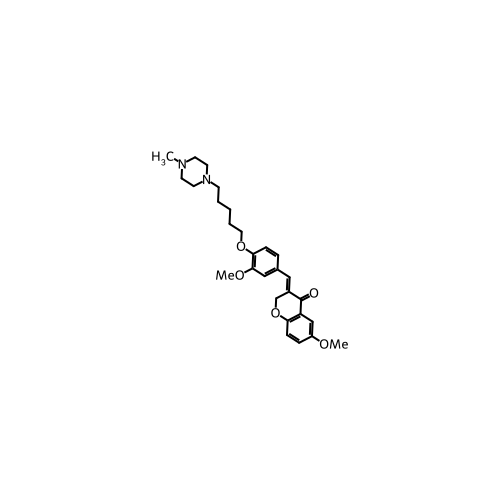 COc1ccc2c(c1)C(=O)C(=Cc1ccc(OCCCCCN3CCN(C)CC3)c(OC)c1)CO2